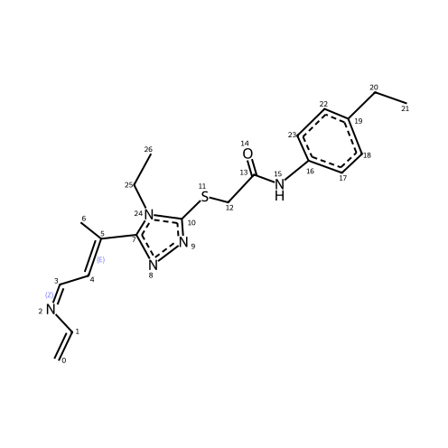 C=C/N=C\C=C(/C)c1nnc(SCC(=O)Nc2ccc(CC)cc2)n1CC